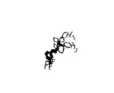 CCOC(=O)c1nc(/C=C/c2cccc(C(F)(F)F)c2)oc1C